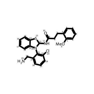 COc1ccccc1CCC(=O)NC1Sc2ccccc2N1c1c(Cl)cccc1CN